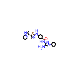 Cc1nc(Nc2ccc(C(=O)Nc3nn(-c4ccccc4)cc3N)cc2)sc1-c1c(C)nc2ccccn12